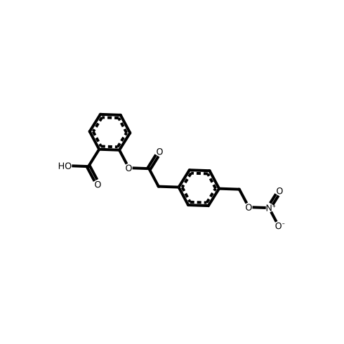 O=C(Cc1ccc(CO[N+](=O)[O-])cc1)Oc1ccccc1C(=O)O